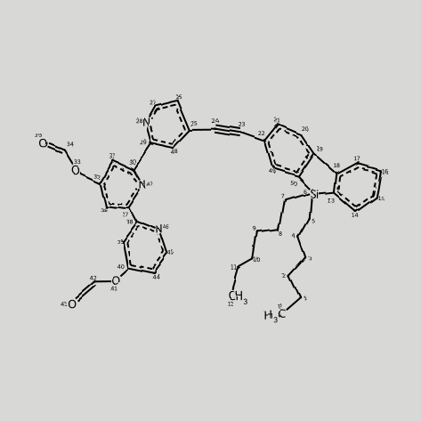 CCCCCC[Si]1(CCCCCC)c2ccccc2-c2ccc(C#Cc3ccnc(-c4cc(OC=O)cc(-c5cc(OC=O)ccn5)n4)c3)cc21